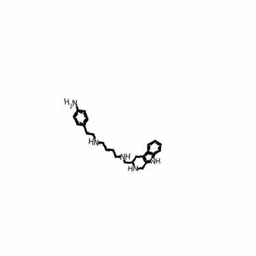 Nc1ccc(CCNCCCCNCC2Cc3c([nH]c4ccccc34)CN2)cc1